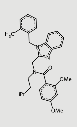 COc1ccc(C(=O)N(CCC(C)C)Cc2nc3ccccc3n2Cc2ccccc2C)c(OC)c1